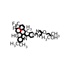 C[C@@H](c1ccc(C(F)(F)F)cc1)c1c(C2CCN(c3ncc(OCCC(C)(C)O)cn3)CC2)nc2c(c1C1CCC(F)(F)CC1)[C@@H](O)CC(C)(C)C2